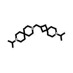 CC(C)N1CCC2(CCN(CC3CC4(CCN(C(C)C)CC4)C3)CC2)CC1